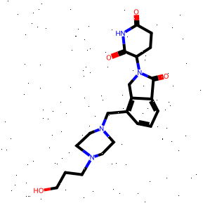 O=C1CCC(N2Cc3c(CN4CCN(CCCO)CC4)cccc3C2=O)C(=O)N1